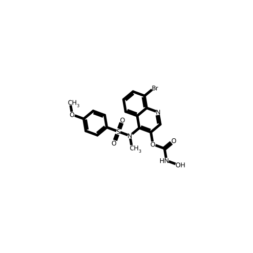 COc1ccc(S(=O)(=O)N(C)c2c(OC(=O)NO)cnc3c(Br)cccc23)cc1